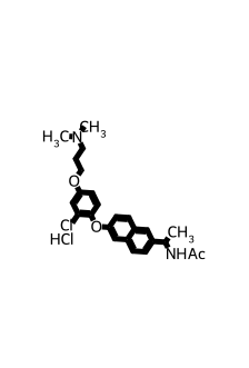 CC(=O)NC(C)c1ccc2cc(Oc3ccc(OCCCN(C)C)cc3Cl)ccc2c1.Cl